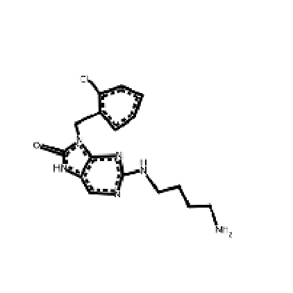 NCCCCNc1ncc2[nH]c(=O)n(Cc3ccccc3Cl)c2n1